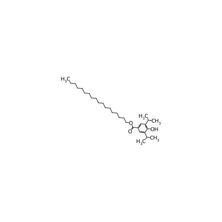 CCCCCCCCCCCCCCCCCCOC(=O)c1cc(C(C)C)c(O)c(C(C)C)c1